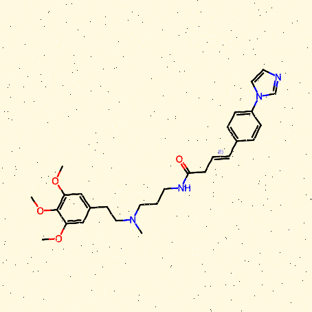 COc1cc(CCN(C)CCCNC(=O)C/C=C/c2ccc(-n3ccnc3)cc2)cc(OC)c1OC